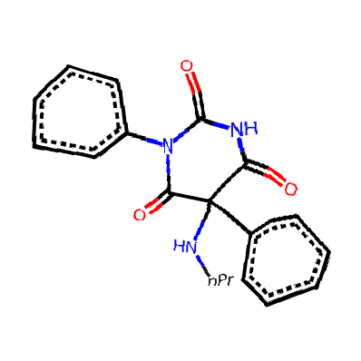 CCCNC1(c2ccccc2)C(=O)NC(=O)N(c2ccccc2)C1=O